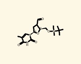 Cc1cn([C@H]2CC(C=O)[C@@H](CO[Si](C)(C)C(C)(C)C)O2)c(=O)[nH]c1=O